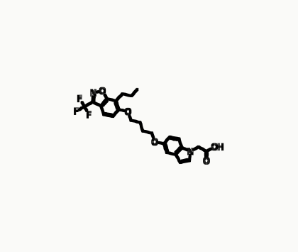 CCCc1c(OCCCCOc2ccc3c(ccn3CC(=O)O)c2)ccc2c(C(F)(F)F)noc12